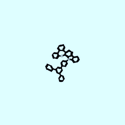 c1ccc(-c2cc(-c3ccccc3)cc(-c3ccc(-n4c5ccccc5c5ccc6c(c54)Oc4ccccc4-c4ccccc4-6)cc3)c2)cc1